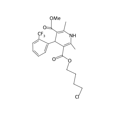 COC(=O)C1=C(C)NC(C)=C(C(=O)OCCCCCl)C1c1ccccc1C(F)(F)F